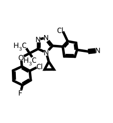 CC(C)(Oc1ccc(F)cc1Cl)c1nnc(-c2ccc(C#N)cc2Cl)n1C1CC1